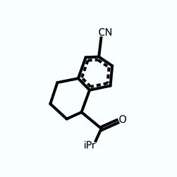 CC(C)C(=O)C1CCCc2cc(C#N)ccc21